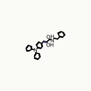 O=C(NCCc1ccccc1)/C(O)=C/c1ccc(N(c2ccccc2)c2ccccc2)cc1